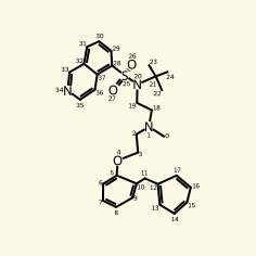 CN(CCOc1ccccc1Cc1ccccc1)CCN(C(C)(C)C)S(=O)(=O)c1cccc2cnccc12